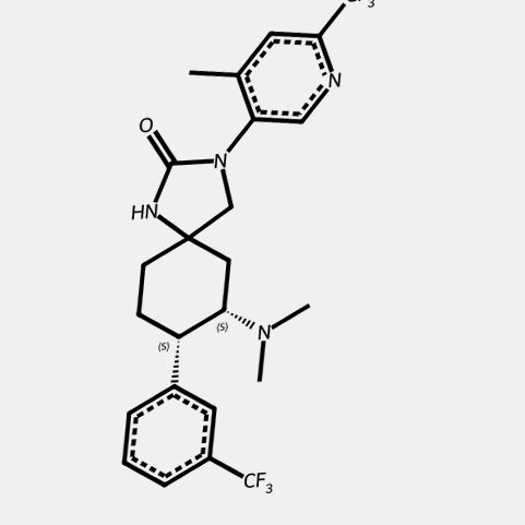 Cc1cc(C(F)(F)F)ncc1N1CC2(CC[C@@H](c3cccc(C(F)(F)F)c3)[C@@H](N(C)C)C2)NC1=O